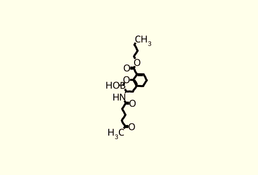 CCCCOC(=O)C1=CCCC2=C1OB(O)[C@@H](NC(=O)CCCC(C)=O)C2